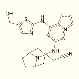 N#CCCN1C2CCC1CC(Nc1nc(Nc3ncc(CO)s3)c3cccn3n1)C2